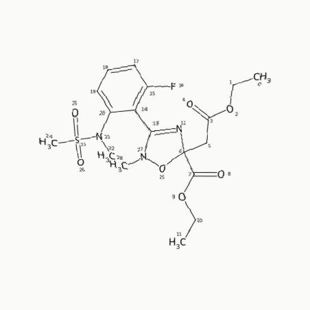 CCOC(=O)CC1(C(=O)OCC)N=C(c2c(F)cccc2N(C)S(C)(=O)=O)N(C)O1